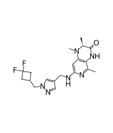 Cc1nc(NCc2cnn(CC3CC(F)(F)C3)c2)cc2c1NC(=O)[C@H](C)N2C